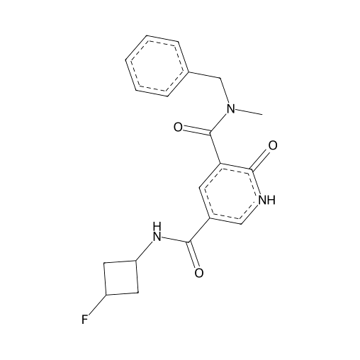 CN(Cc1ccccc1)C(=O)c1cc(C(=O)NC2CC(F)C2)c[nH]c1=O